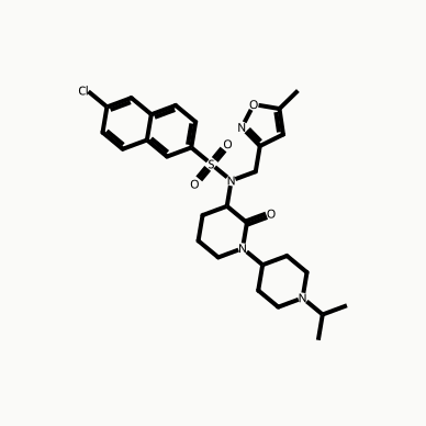 Cc1cc(CN(C2CCCN(C3CCN(C(C)C)CC3)C2=O)S(=O)(=O)c2ccc3cc(Cl)ccc3c2)no1